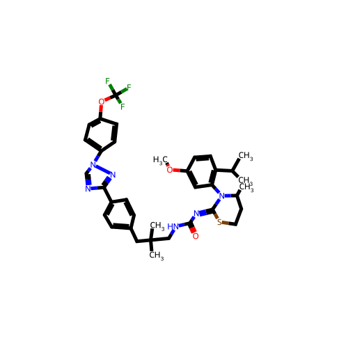 COc1ccc(C(C)C)c(N2/C(=N/C(=O)NCC(C)(C)Cc3ccc(-c4ncn(-c5ccc(OC(F)(F)F)cc5)n4)cc3)SCCC2C)c1